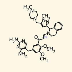 COc1cc(Cc2cnc(N)nc2N)cc(C(=O)/C=C/N2CCc3ccccc3C2c2cc(CN3CCN(C)CC3)n(C)n2)c1OC